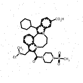 CCN(C)Cc1c(C(=O)N2CCN(S(C)(=O)=O)CC2)n2c3c(cccc13)-c1c(C3CCCCC3)c3ccc(C(=O)O)cc3n1CCC2